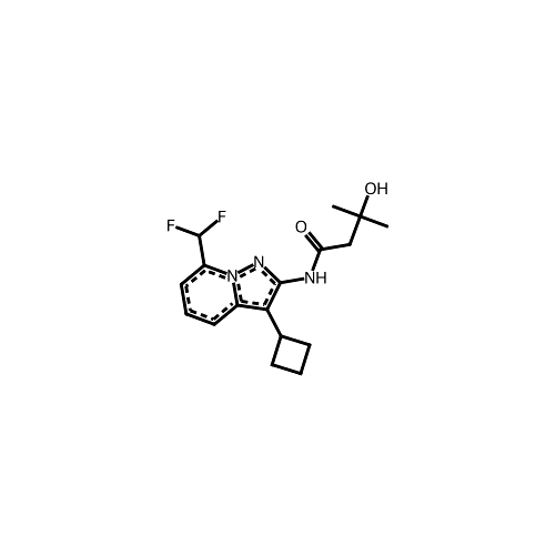 CC(C)(O)CC(=O)Nc1nn2c(C(F)F)cccc2c1C1CCC1